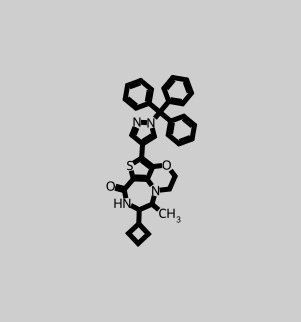 CC1C(C2CCC2)NC(=O)c2sc(-c3cnn(C(c4ccccc4)(c4ccccc4)c4ccccc4)c3)c3c2N1CCO3